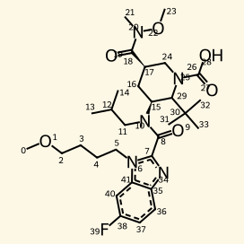 COCCCCn1c(C(=O)N(CC(C)C)[C@H]2C[C@@H](C(=O)N(C)OC)CN(C(=O)O)C2C(C)(C)C)nc2ccc(F)cc21